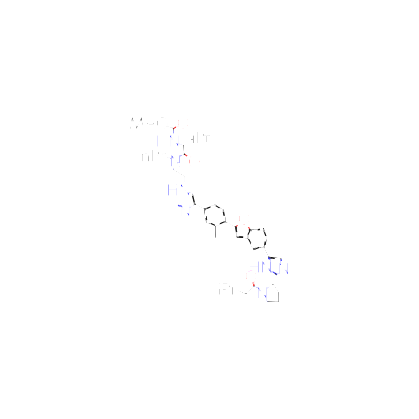 C=N/C(=C\NCCN(CCC)C(=O)[C@@H](NC(=O)OC)C(C)C)c1ccc(-c2cc3cc(-c4cnc([C@@H]5CCCN5C(=O)CC(C)C)[nH]4)ccc3o2)c(C)c1